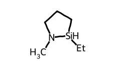 CC[SiH]1CCCN1C